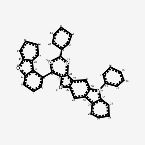 c1ccc(-c2nc(-c3cccc4oc5ccccc5c34)c3oc4cc5c6ccccc6n(-c6ccccc6)c5cc4c3n2)cc1